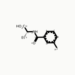 CC[C@@H](NC(=O)c1cccc(I)c1)C(=O)O